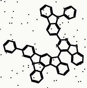 c1ccc(-c2ccc3c4cc5c(c6c7ccccc7n(c3c2)c46)-c2ccccc2C5c2nc(-c3ccc4c5ccccc5n(-c5ccccc5)c4c3)nc3sc4ccccc4c23)cc1